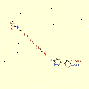 CC(=O)NCCOCCOCCOCCOCCNc1ccc(-c2ccc3c(c2)CC(=O)N3)cn1